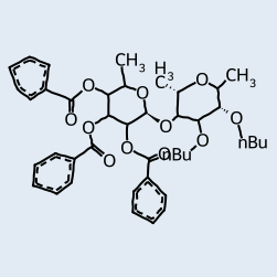 CCCCOC1C(O[C@@H]2OC(C)C(OC(=O)c3ccccc3)C(OC(=O)c3ccccc3)C2OC(=O)c2ccccc2)[C@H](C)OC(C)[C@@H]1OCCCC